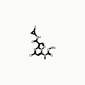 CN(C(=O)OC(C)(C)C)c1cc(Cl)nc2c(C(=O)NC3CC3F)cnn12